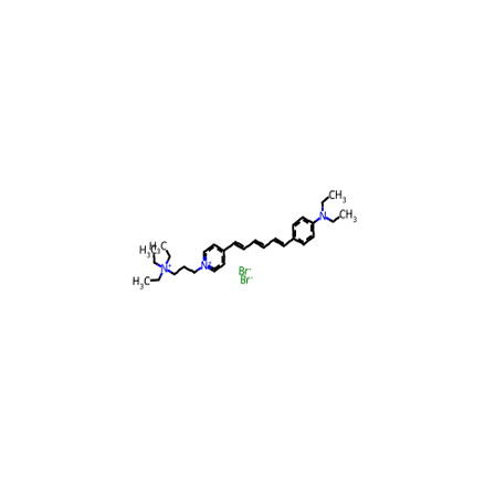 CCN(CC)c1ccc(C=CC=CC=Cc2cc[n+](CCC[N+](CC)(CC)CC)cc2)cc1.[Br-].[Br-]